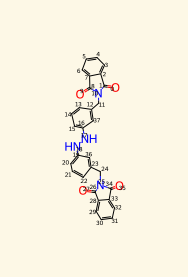 O=C1c2ccccc2C(=O)N1Cc1cccc(NNc2cccc(CN3C(=O)c4ccccc4C3=O)c2)c1